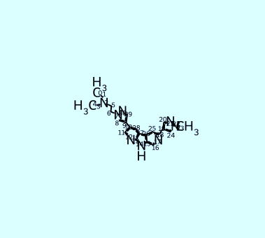 CCN(CC)CCn1cc(-c2cnc3[nH]c4cnc(-c5cnn(C)c5)cc4c3c2)cn1